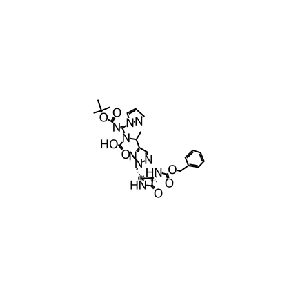 CC(c1cnn(C[C@H]2NC(=O)[C@H]2NC(=O)OCc2ccccc2)n1)N(C(=O)O)C(=NC(=O)OC(C)(C)C)n1cccn1